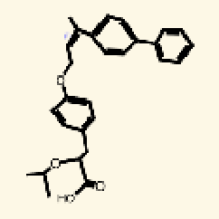 C/C(=C/COc1ccc(CC(OC(C)C)C(=O)O)cc1)c1ccc(-c2ccccc2)cc1